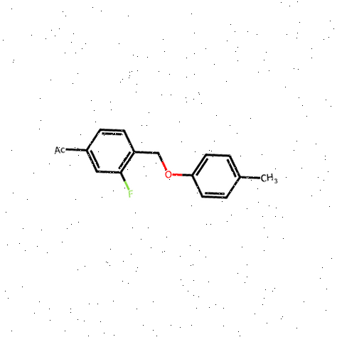 CC(=O)c1ccc(COc2ccc(C)cc2)c(F)c1